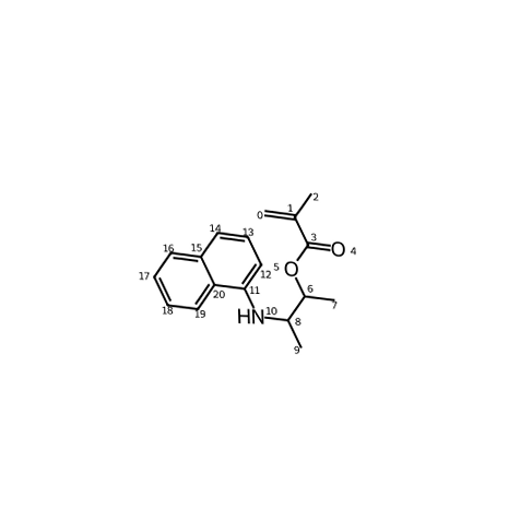 C=C(C)C(=O)OC(C)C(C)Nc1cccc2ccccc12